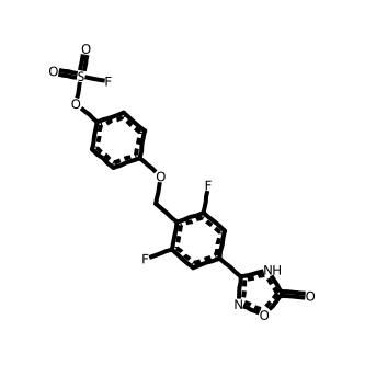 O=c1[nH]c(-c2cc(F)c(COc3ccc(OS(=O)(=O)F)cc3)c(F)c2)no1